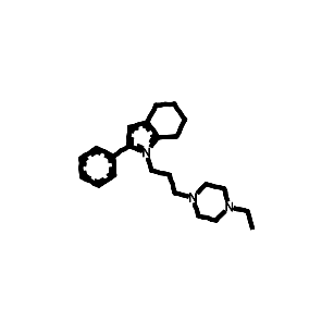 CCN1CCN(CCCn2c(-c3ccccc3)cc3c2CCCC3)CC1